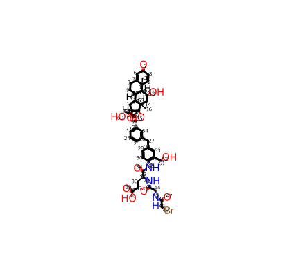 C[C@]12C=CC(=O)C=C1CC[C@@H]1[C@@H]2[C@@H](O)C[C@@]2(C)[C@H]1C[C@H]1O[C@@H](c3cccc(Cc4ccc(NC(=O)[C@H](CCC(=O)O)NC(=O)CNC(=O)CBr)c(CO)c4)c3)O[C@]12C(=O)CO